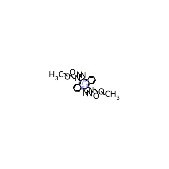 CCOC(=O)Cn1nnc2/c1=c1/cccc/c1=c1\nnn(CC(=O)OCC)\c1=c1/cccc/c1=2